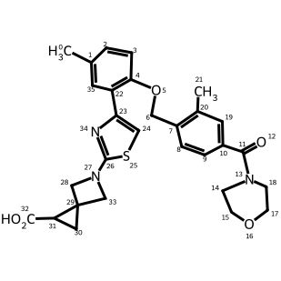 Cc1ccc(OCc2ccc(C(=O)N3CCOCC3)cc2C)c(-c2csc(N3CC4(CC4C(=O)O)C3)n2)c1